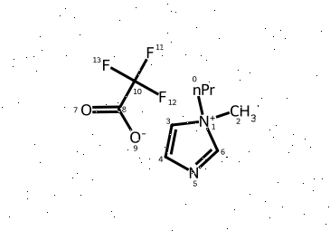 CCC[N+]1(C)C=CN=C1.O=C([O-])C(F)(F)F